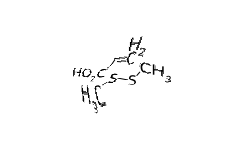 C=CC(=O)O.CSSC